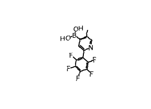 Cc1cnc(-c2c(F)c(F)c(F)c(F)c2F)cc1B(O)O